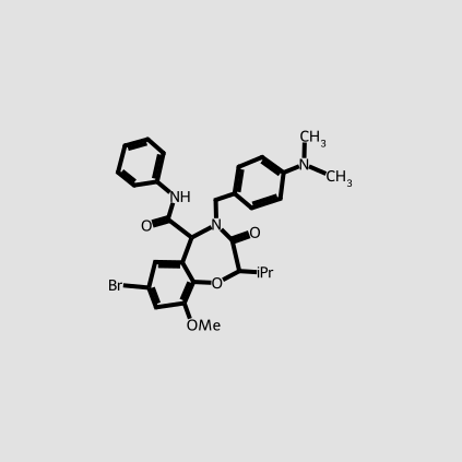 COc1cc(Br)cc2c1OC(C(C)C)C(=O)N(Cc1ccc(N(C)C)cc1)C2C(=O)Nc1ccccc1